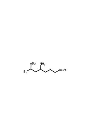 CCCCCCCCCCCC(N)CC(CC)CCCC